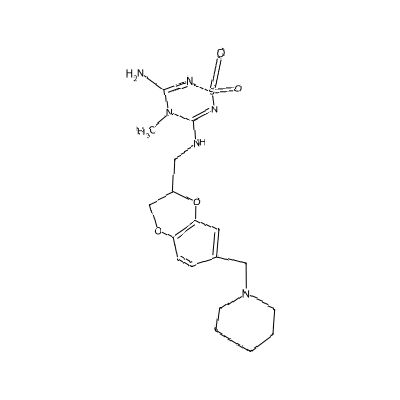 CN1C(N)=NS(=O)(=O)N=C1NCC1COc2ccc(CN3CCCCC3)cc2O1